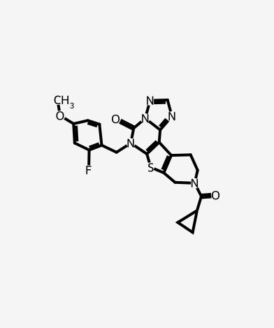 COc1ccc(Cn2c(=O)n3ncnc3c3c4c(sc32)CN(C(=O)C2CC2)CC4)c(F)c1